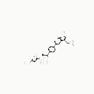 CN(C)Cc1c[nH]c2ncc(-c3ccc(C(OC=O)C(=O)Nc4cc(C(C)(C)C)on4)cc3)cc12